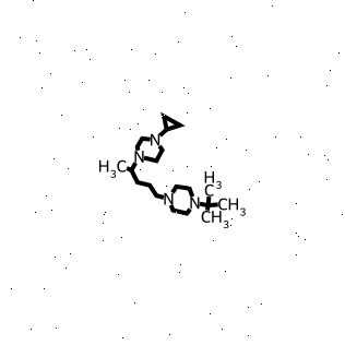 CC(CCCN1CCN(C(C)(C)C)CC1)N1CCN(C2CC2)CC1